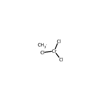 [CH3].[Cl][Cr]([Cl])[Cl]